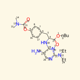 CCCCOC(=O)C(Cc1ccc(OC(=O)N(C)C)cc1)Nc1nc(N(CC)CC)ncc1N